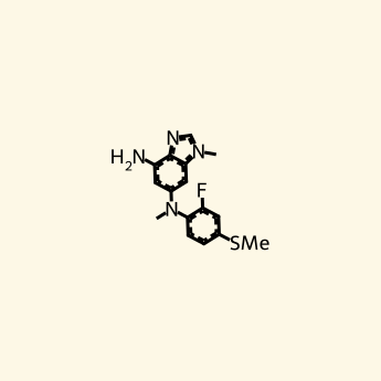 CSc1ccc(N(C)c2cc(N)c3ncn(C)c3c2)c(F)c1